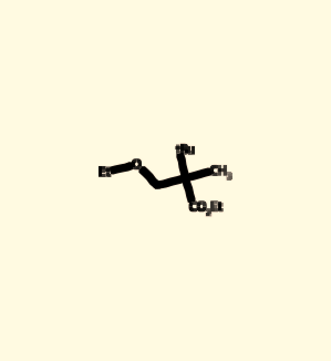 CCOCC(C)(C(=O)OCC)C(C)(C)C